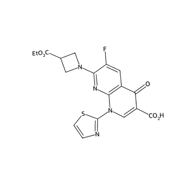 CCOC(=O)C1CN(c2nc3c(cc2F)c(=O)c(C(=O)O)cn3-c2nccs2)C1